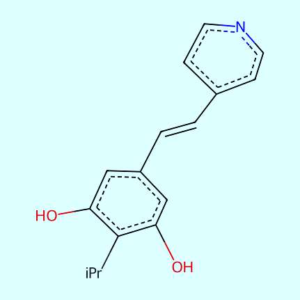 CC(C)c1c(O)cc(C=Cc2ccncc2)cc1O